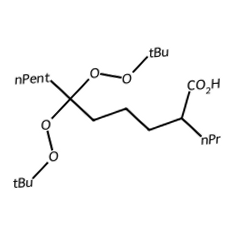 CCCCCC(CCCC(CCC)C(=O)O)(OOC(C)(C)C)OOC(C)(C)C